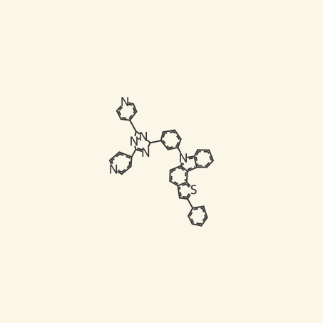 c1ccc(-c2cc3ccc4c(c5ccccc5n4-c4cccc(C5N=C(c6ccncc6)N6C(c7ccncc7)N56)c4)c3s2)cc1